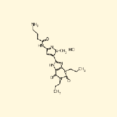 CCCn1c(=O)c2[nH]c(-c3cc(NC(=O)CCCN)nn3C)nc2n(CCC)c1=O.Cl